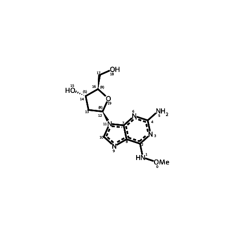 CONc1nc(N)nc2c1ncn2[C@H]1C[C@H](O)[C@@H](CO)O1